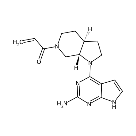 C=CC(=O)N1CC[C@H]2CCN(c3nc(N)nc4[nH]ccc34)[C@@H]2C1